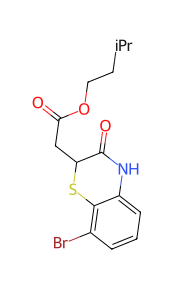 CC(C)CCOC(=O)CC1Sc2c(Br)cccc2NC1=O